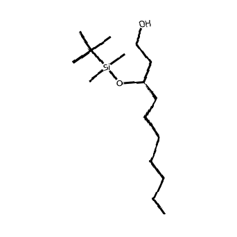 CCCCCCC[C@H](CCO)O[Si](C)(C)C(C)(C)C